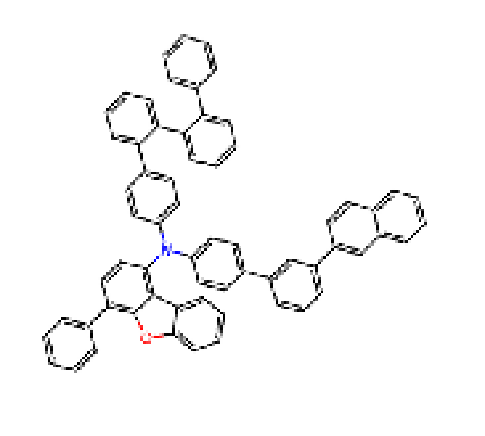 c1ccc(-c2ccccc2-c2ccccc2-c2ccc(N(c3ccc(-c4cccc(-c5ccc6ccccc6c5)c4)cc3)c3ccc(-c4ccccc4)c4oc5ccccc5c34)cc2)cc1